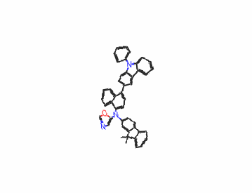 CC1(C)c2ccccc2-c2ccc(N(c3cnco3)c3ccc(-c4ccc5c(c4)c4ccccc4n5-c4ccccc4)c4ccccc34)cc21